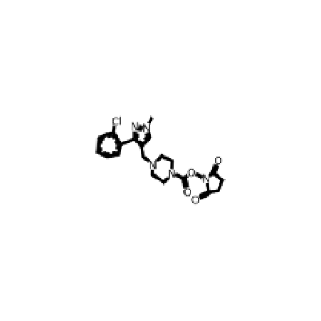 Cn1cc(CN2CCN(C(=O)ON3C(=O)CCC3=O)CC2)c(-c2ccccc2Cl)n1